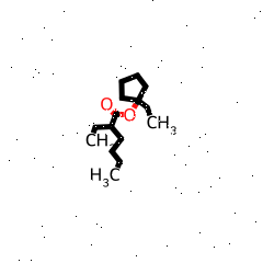 CCCCC(CC)C(=O)OC1(CC)CCCC1